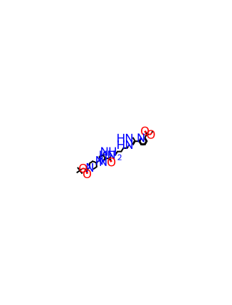 COC(=O)c1cccc(/C(C=N)=C/NCCCCCNC(=O)C2=NN(C3CCN(C(=O)OC(C)(C)C)CC3)CC2N)n1